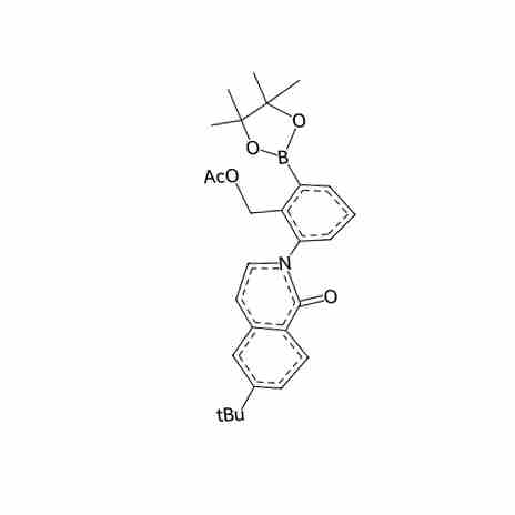 CC(=O)OCc1c(B2OC(C)(C)C(C)(C)O2)cccc1-n1ccc2cc(C(C)(C)C)ccc2c1=O